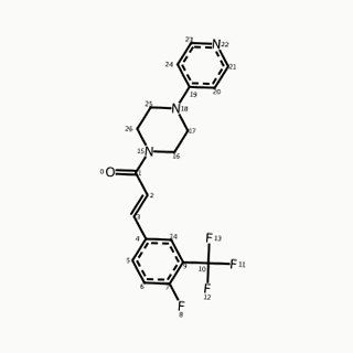 O=C(C=Cc1ccc(F)c(C(F)(F)F)c1)N1CCN(c2ccncc2)CC1